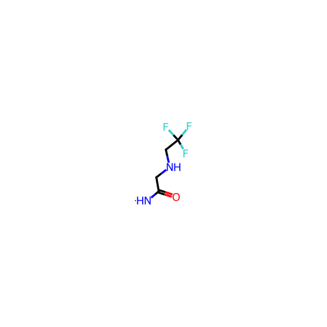 [NH]C(=O)CNCC(F)(F)F